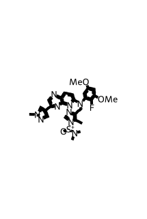 COc1cc(OC)c(F)c(N(Cc2ncn([S+]([O-])N(C)C)c2C)c2ccc3ncc(-c4cnn(C)c4)nc3n2)c1